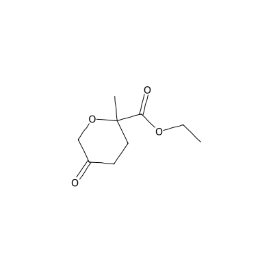 CCOC(=O)C1(C)CCC(=O)CO1